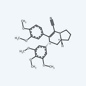 COc1ccc(C2=C(C#N)N3CCC[C@@H]3C[C@@H]2c2cc(OC)c(OC)c(OC)c2)cc1OC